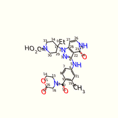 CCC1(n2nc(Nc3ccc(C(=O)N4CCOC(=O)C4)c(C)c3)c3c(=O)[nH]ccc32)CCN(C(=O)O)CC1